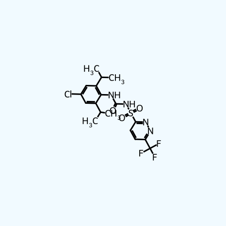 CC(C)c1cc(Cl)cc(C(C)C)c1NC(=O)NS(=O)(=O)c1ccc(C(F)(F)F)nn1